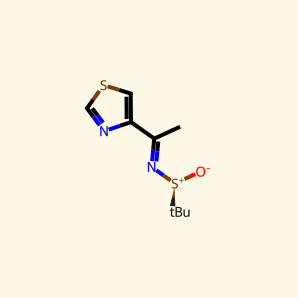 C/C(=N\[S@@+]([O-])C(C)(C)C)c1cscn1